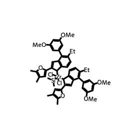 CCc1ccc2c(c1-c1cc(OC)cc(OC)c1)C=C(c1cc(C)c(C)o1)[CH]2[Zr]([Cl])([Cl])([CH]1C(c2cc(C)c(C)o2)=Cc2c1ccc(CC)c2-c1cc(OC)cc(OC)c1)=[Si](C)C